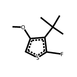 COc1csc(F)c1C(C)(C)C